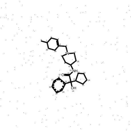 CC1CC=C(CN2CCC(NC(=O)C(O)(c3ccccc3)C3CCCC3)CC2)CC1